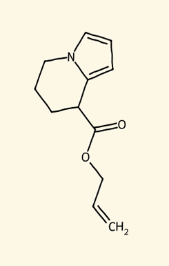 C=CCOC(=O)C1CCCn2cccc21